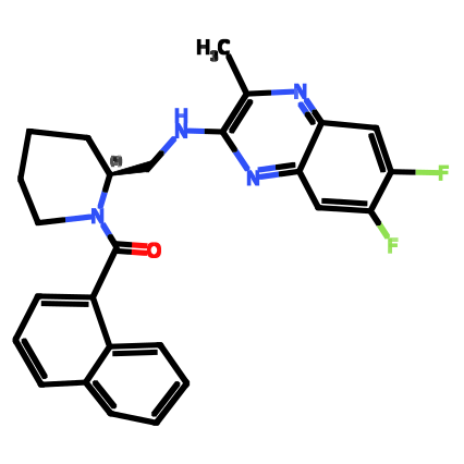 Cc1nc2cc(F)c(F)cc2nc1NC[C@@H]1CCCCN1C(=O)c1cccc2ccccc12